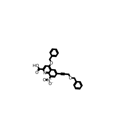 O=C(O)c1cc(OCc2ccccc2)c2cc(C#CCOCc3ccccc3)cc([N+](=O)[O-])c2n1